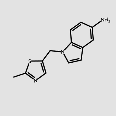 Cc1ncc(Cn2ccc3cc(N)ccc32)s1